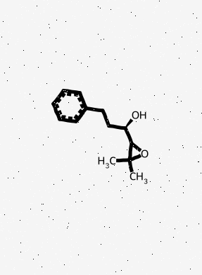 CC1(C)OC1[C@H](O)CCc1ccccc1